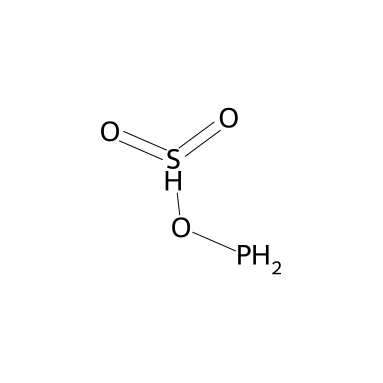 O=[SH](=O)OP